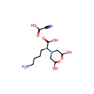 N#CC(=O)O.NCCCC[C@@H](C(=O)O)N(CC(=O)O)CC(=O)O